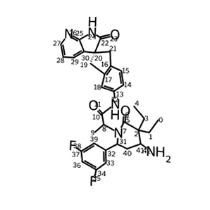 CCC1(CC)C(=O)N(C(C)C(=O)Nc2ccc3c(c2)C[C@@]2(C3)C(=O)Nc3ncccc32)C(c2cc(F)cc(F)c2)CC1N